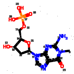 Cn1c(N)nc2c(ncn2[C@H]2C[C@H](O)[C@@H](COP(=O)(O)O)O2)c1=O